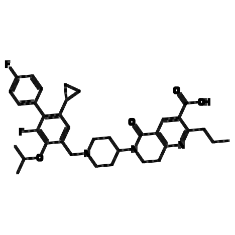 CCCc1nc2c(cc1C(=O)O)C(=O)N(C1CCN(Cc3cc(C4CC4)c(-c4ccc(F)cc4)c(F)c3OC(C)C)CC1)CC2